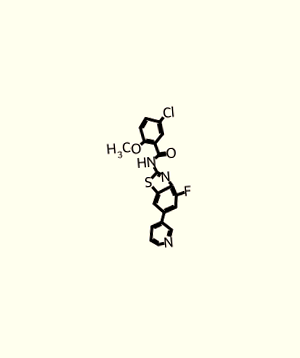 COc1ccc(Cl)cc1C(=O)Nc1nc2c(F)cc(-c3cccnc3)cc2s1